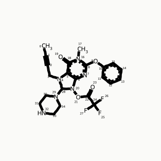 CC#CCN1c2c(nc(Oc3ccccc3)n(C)c2=O)N(OC(=O)C(F)(F)F)C1N1CCNCC1